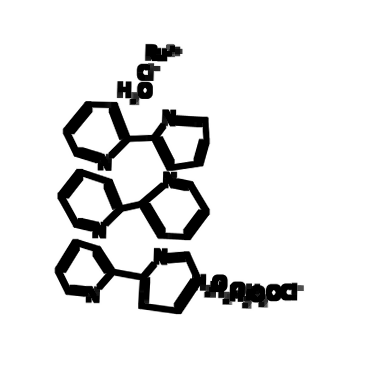 O.O.O.O.O.[Cl-].[Cl-].[Ru+2].c1ccc(-c2ccccn2)nc1.c1ccc(-c2ccccn2)nc1.c1ccc(-c2ccccn2)nc1